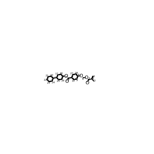 C=C(C)C(=O)OCOc1ccc(C(=O)Oc2ccc(-c3ccccc3)cc2)cc1